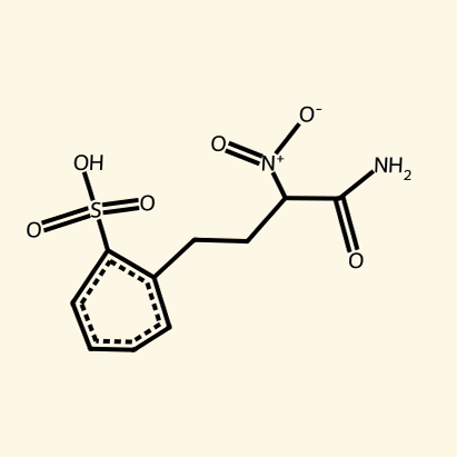 NC(=O)C(CCc1ccccc1S(=O)(=O)O)[N+](=O)[O-]